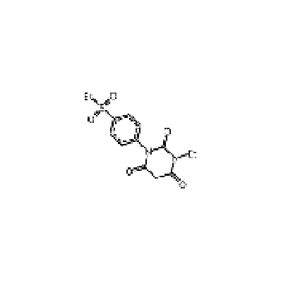 CCN1C(=O)CC(=O)N(c2ccc(S(=O)(=O)CC)cc2)C1=O